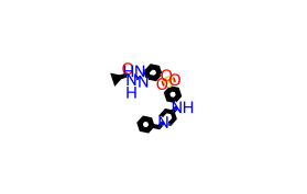 O=C(Nc1nc2cc(OS(=O)(=O)c3ccc(NC4CCN(Cc5ccccc5)CC4)cc3)ccc2[nH]1)C1CC1